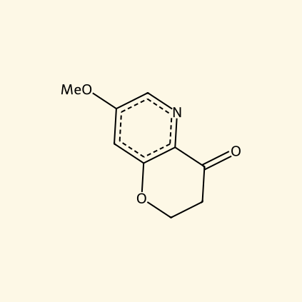 COc1cnc2c(c1)OCCC2=O